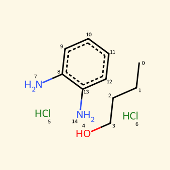 CCCCO.Cl.Cl.Nc1ccccc1N